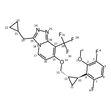 COc1c(F)ccc(F)c1[C@H]1C[C@@H]1COc1ccn2c(CC3CC3)nnc2c1C(F)(F)F